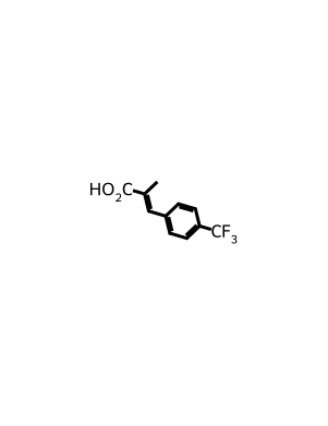 CC(=Cc1ccc(C(F)(F)F)cc1)C(=O)O